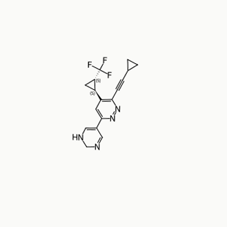 FC(F)(F)[C@H]1C[C@@H]1c1cc(C2=CNCN=C2)nnc1C#CC1CC1